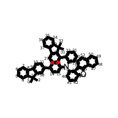 CC1(C)c2ccccc2-c2ccc(-c3ccc(N(c4ccccc4-c4cccc5c4C(C)(C)c4ccccc4-5)c4cccc5oc6c7ccccc7ccc6c45)cc3)cc21